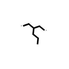 [CH2]CC(C[CH2])CCC